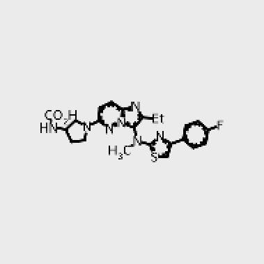 CCc1nc2ccc(N3CCC(NC(=O)O)C3)nn2c1N(C)c1nc(-c2ccc(F)cc2)cs1